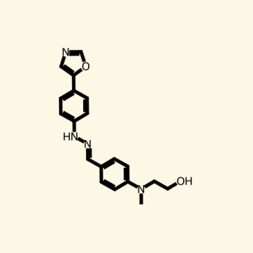 CN(CCO)c1ccc(/C=N/Nc2ccc(-c3cnco3)cc2)cc1